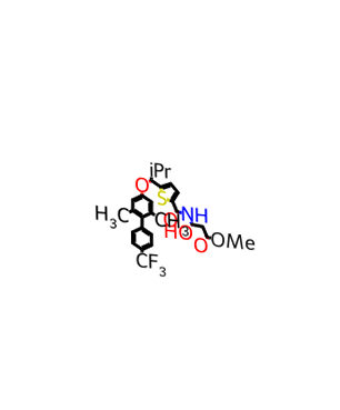 COC(=O)C[C@H](O)NC(=O)c1ccc(C(Oc2cc(C)c(-c3ccc(C(F)(F)F)cc3)c(C)c2)C(C)C)s1